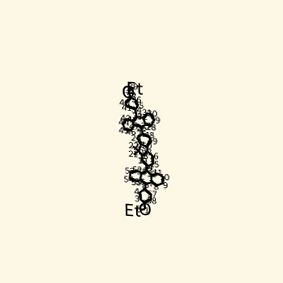 CCOc1ccc(-c2c3ccccc3c(-c3ccc4c(c3)C(C)(C)c3cc(-c5c6ccccc6c(-c6ccc(OCC)cc6)c6ccccc56)ccc3-4)c3ccccc23)cc1